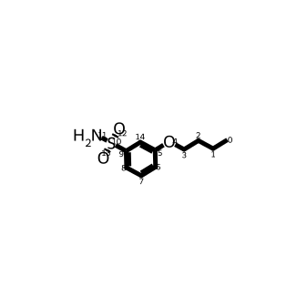 CCCCOc1cccc(S(N)(=O)=O)c1